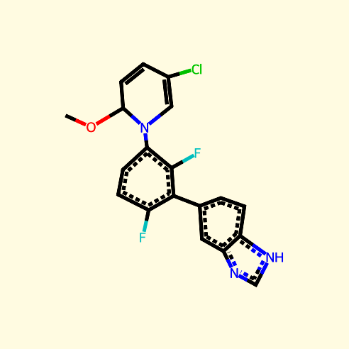 COC1C=CC(Cl)=CN1c1ccc(F)c(-c2ccc3[nH]cnc3c2)c1F